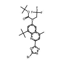 Cc1cc(-c2nnc(Br)o2)nc2c(C(C)(C)C)cc(N(CC(F)(F)F)C(=O)OC(C)(C)C)cc12